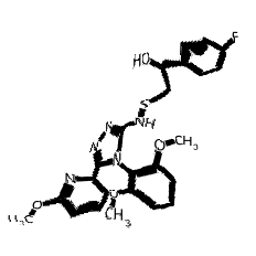 COc1cccc(-c2nnc(NSCC(O)c3ccc(F)cc3)n2-c2c(OC)cccc2OC)n1